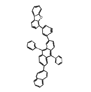 c1ccc(-c2c3ccc(-c4ccc5ccccc5c4)cc3c(-c3ccccc3)c3ccc(-c4cccc(-c5cccc6c5oc5ccccc56)c4)cc23)cc1